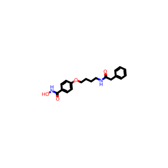 O=C(Cc1ccccc1)NCCCCOc1ccc(C(=O)NO)cc1